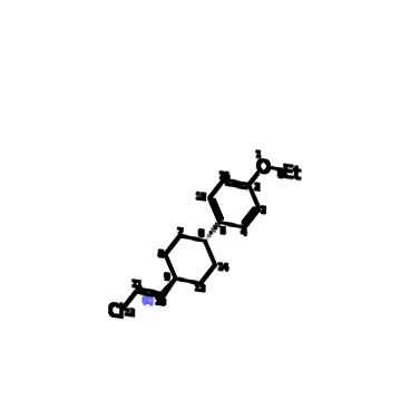 CCOc1ccc([C@H]2CC[C@H](/C=C/Cl)CC2)cc1